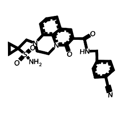 N#Cc1ccc(CNC(=O)c2cc3cccc4c3n(c2=O)CCN4CC2(S(N)(=O)=O)CC2)cc1